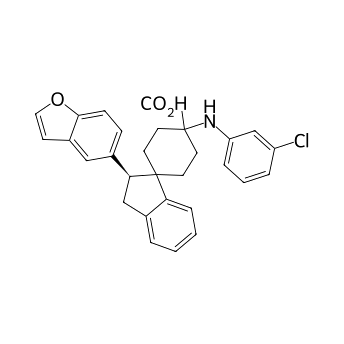 O=C(O)C1(Nc2cccc(Cl)c2)CCC2(CC1)c1ccccc1C[C@H]2c1ccc2occc2c1